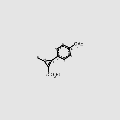 CCOC(=O)C1=C(c2ccc(OC(C)=O)cc2)C1C